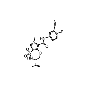 C=C(C)[C@H]1COc2c(cn(C)c2C(=O)Nc2ccc(F)c(C#N)c2)S(=O)(=O)N1